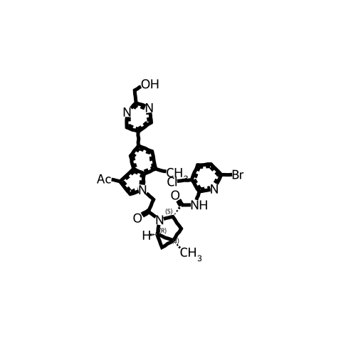 CC(=O)c1cn(CC(=O)N2[C@H](C(=O)Nc3nc(Br)ccc3Cl)C[C@@]3(C)C[C@@H]23)c2c(C)cc(-c3cnc(CO)nc3)cc12